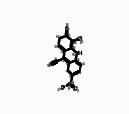 N#CC1=C2CC([N+](=O)[O-])=CC=C2NC2=C(Cl)C(=O)CC=C12